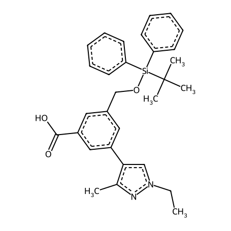 CCn1cc(-c2cc(CO[Si](c3ccccc3)(c3ccccc3)C(C)(C)C)cc(C(=O)O)c2)c(C)n1